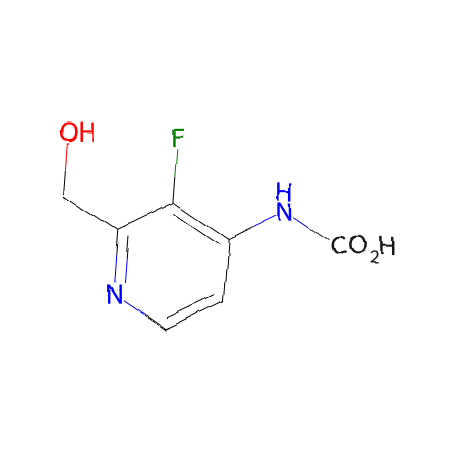 O=C(O)Nc1ccnc(CO)c1F